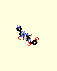 COc1cccc(C(=O)N2C[C@@H]3[C@H](C2)[C@@H]3N(C)c2nc(-c3ccncc3F)cc(=O)n2C)c1